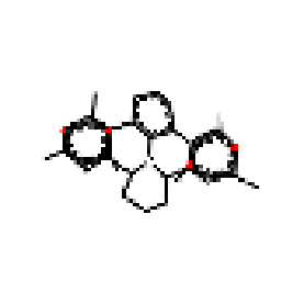 Cc1cc(C)c(-c2cccc(-c3c(C)cc(C)cc3C)c2P2C(c3ccccc3)CCCC2c2ccccc2)c(C)c1